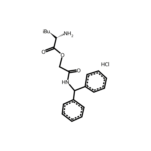 CC[C@H](C)[C@H](N)C(=O)OCC(=O)NC(c1ccccc1)c1ccccc1.Cl